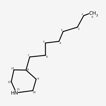 CCCCCCCCC1CCNCC1